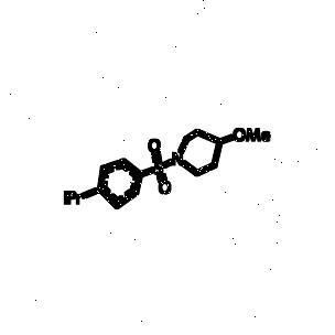 COC1CCN(S(=O)(=O)c2ccc(C(C)C)cc2)CC1